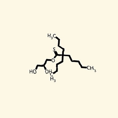 CCCCCC(CCCC)(CCCC)C(=S)OCC(O)CO